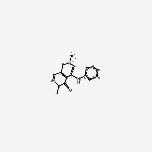 CC1N=CC2=C(C1=O)C(Nc1ccccc1)=CN(N)C2